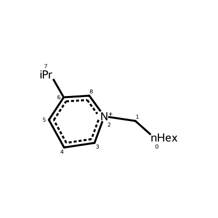 CCCCCCC[n+]1cccc(C(C)C)c1